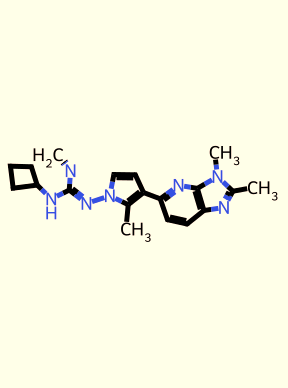 C=N/C(=N\n1ccc(-c2ccc3nc(C)n(C)c3n2)c1C)NC1CCC1